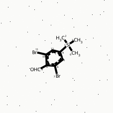 C[Si](C)(C)c1cc(Br)c(C=O)c(Br)c1